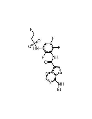 CCNc1ncnc2c(C(=O)Nc3c(F)c(F)cc(NS(=O)(=O)CCF)c3F)csc12